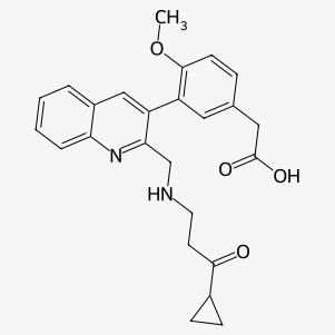 COc1ccc(CC(=O)O)cc1-c1cc2ccccc2nc1CNCCC(=O)C1CC1